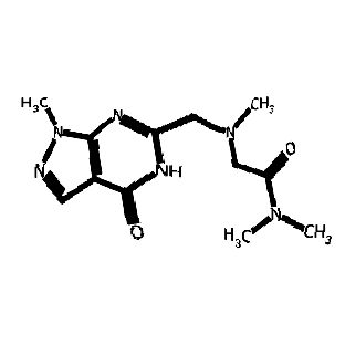 CN(CC(=O)N(C)C)Cc1nc2c(cnn2C)c(=O)[nH]1